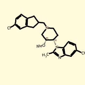 CO[C@@H]1CN(CC2Cc3ccc(Cl)cc3C2)CC[C@@H]1n1c(C)nc2cc(C)ccc21